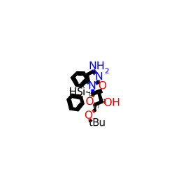 C=C1[C@H](O)[C@@H](COC(C)(C)C)O[C@]1(n1ccc(N)nc1=O)[SiH](c1ccccc1)c1ccccc1